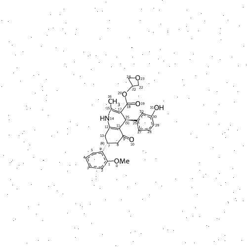 COc1ccccc1[C@H]1CC(=O)C2=C(C1)NC(C)=C(C(=O)OC1COC1)[C@H]2c1cccc(O)c1